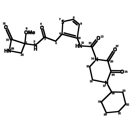 COC1(NC(=O)Cc2sccc2NC(=O)N2CCN(C3CCCCC3)C(=O)C2=O)CNC1=O